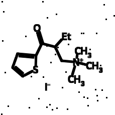 CCC(C[N+](C)(C)C)C(=O)c1cccs1.[I-]